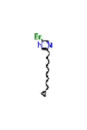 Brc1cnc(CCCCCCCCCC2CC2)cn1